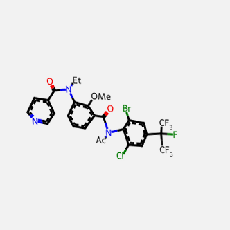 CCN(C(=O)c1ccncc1)c1cccc(C(=O)N(C(C)=O)c2c(Cl)cc(C(F)(C(F)(F)F)C(F)(F)F)cc2Br)c1OC